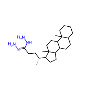 C[C@H](CC/C(=N/N)NN)C1CCC2C3CCC4CCCCC4(C)C3CCC21C